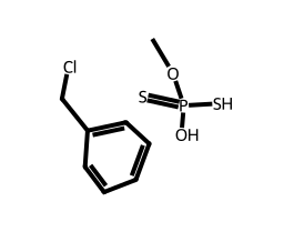 COP(O)(=S)S.ClCc1ccccc1